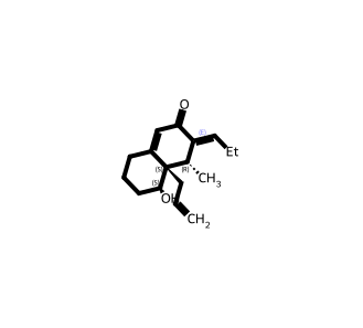 C=CC[C@@]12C(=CC(=O)/C(=C/CC)[C@@H]1C)CCC[C@@H]2O